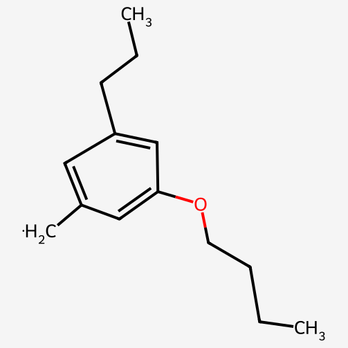 [CH2]c1cc(CCC)cc(OCCCC)c1